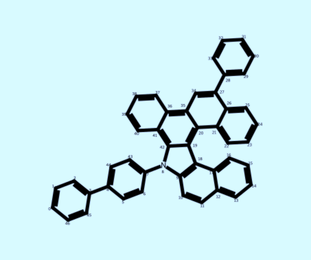 c1ccc(-c2ccc(-n3c4ccc5ccccc5c4c4c5c6ccccc6c(-c6ccccc6)cc5c5ccccc5c43)cc2)cc1